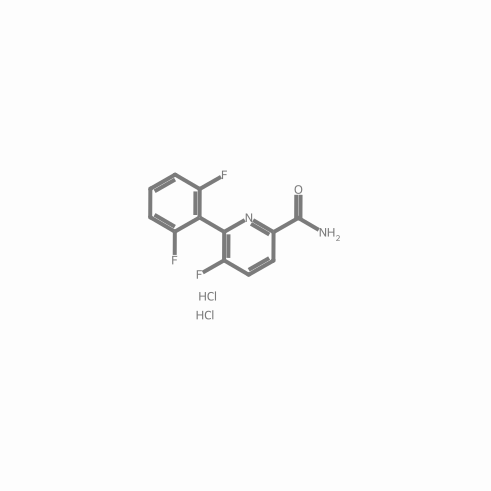 Cl.Cl.NC(=O)c1ccc(F)c(-c2c(F)cccc2F)n1